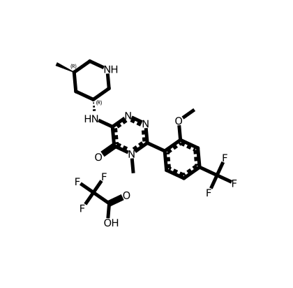 COc1cc(C(F)(F)F)ccc1-c1nnc(N[C@H]2CNC[C@H](C)C2)c(=O)n1C.O=C(O)C(F)(F)F